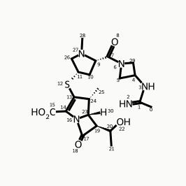 CC(=N)NC1CN(C(=O)[C@@H]2C[C@H](SC3=C(C(=O)O)N4C(=O)[C@H](C(C)O)[C@H]4[C@H]3C)CN2C)C1